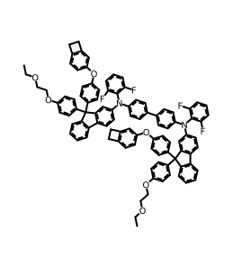 CCOCCOc1ccc(C2(c3ccc(Oc4ccc5c(c4)CC5)cc3)c3ccccc3-c3ccc(N(c4ccc(-c5ccc(N(c6ccc7c(c6)C(c6ccc(OCCOCC)cc6)(c6ccc(Oc8ccc9c(c8)CC9)cc6)c6ccccc6-7)c6c(F)cccc6F)cc5)cc4)c4c(F)cccc4F)cc32)cc1